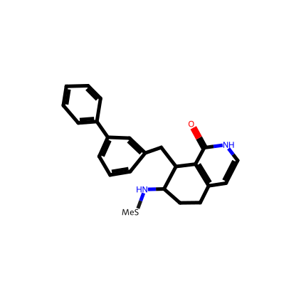 CSNC1CCc2cc[nH]c(=O)c2C1Cc1cccc(-c2ccccc2)c1